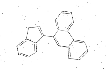 [CH]1C=C(c2cc3ccccc3c3ccccc23)c2ccccc21